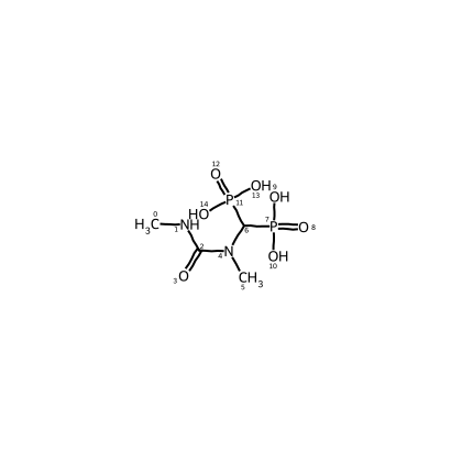 CNC(=O)N(C)C(P(=O)(O)O)P(=O)(O)O